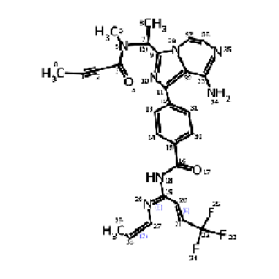 CC#CC(=O)N(C)[C@@H](C)c1nc(-c2ccc(C(=O)NC(/C=C/C(F)(F)F)=N/C=C\C)cc2)c2c(N)nccn12